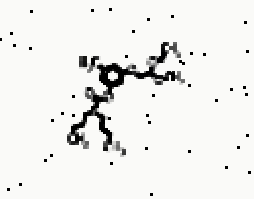 CCCCN(CCCC)C(=O)Oc1cc(C)cc(OCC(OC)OCC)c1